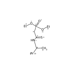 CCOP(=O)(CC(=S)NC(C)C(C)C)OCC